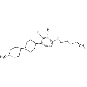 CCCCCOc1ccc(C2CCC(C3CCC(C)CC3)CC2)c(F)c1F